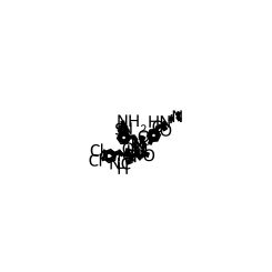 CN(C)CCNC(=O)Oc1ccc(C[C@H]2C(=O)N(Cc3cccc4sc(N)nc34)C[C@H]3N2C(=O)CN3N(CC#N)C(=O)NCC2=CC(Cl)C(Cl)C=C2)cc1